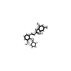 COc1cccc(/C=C/c2nc3c(F)cc(F)cc3[nH]2)c1OC1CCCC1